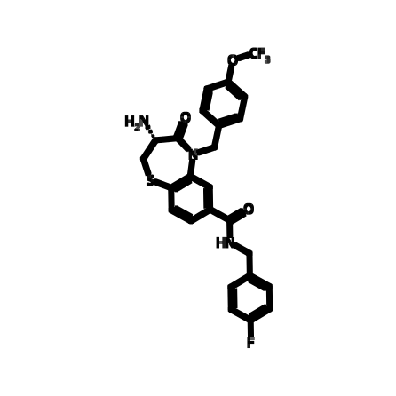 N[C@H]1CSc2ccc(C(=O)NCc3ccc(F)cc3)cc2N(Cc2ccc(OC(F)(F)F)cc2)C1=O